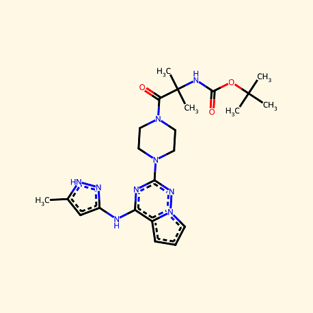 Cc1cc(Nc2nc(N3CCN(C(=O)C(C)(C)NC(=O)OC(C)(C)C)CC3)nn3cccc23)n[nH]1